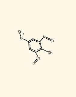 COc1cc(N=O)c(O)c(N=O)c1